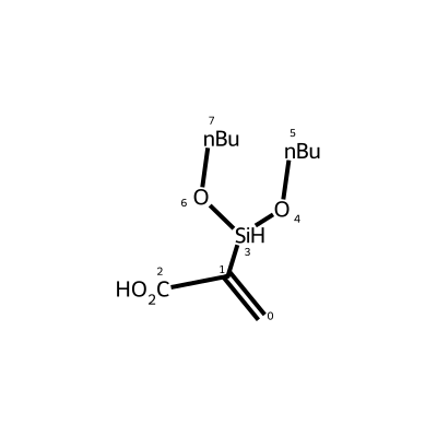 C=C(C(=O)O)[SiH](OCCCC)OCCCC